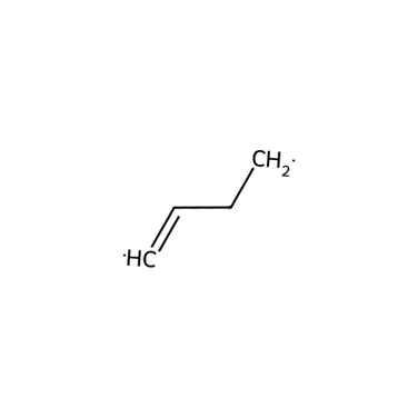 [CH]=CC[CH2]